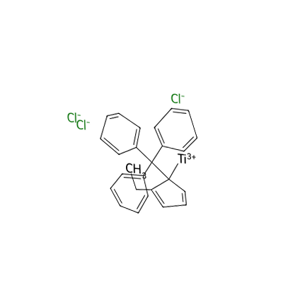 CCC1=CC=C[C]1([Ti+3])C(c1ccccc1)(c1ccccc1)c1ccccc1.[Cl-].[Cl-].[Cl-]